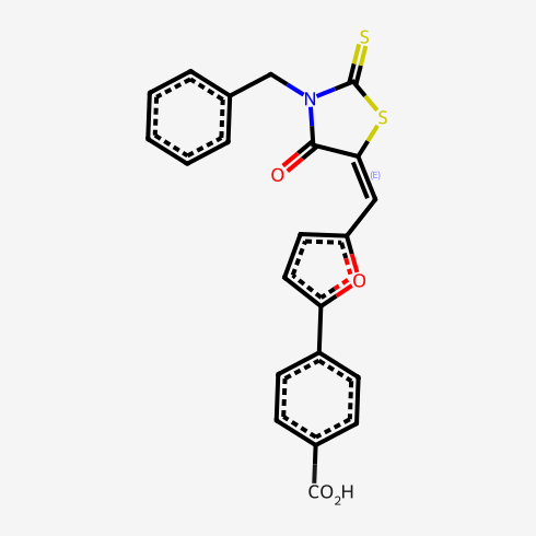 O=C(O)c1ccc(-c2ccc(/C=C3/SC(=S)N(Cc4ccccc4)C3=O)o2)cc1